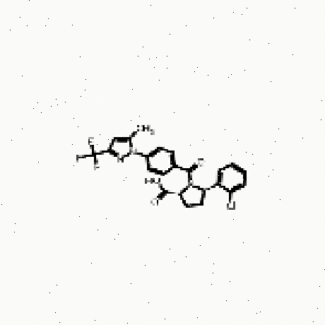 Cc1cc(C(F)(F)F)nn1-c1ccc(C(=O)N2[C@@H](c3ccccc3Cl)CC[C@H]2C(=O)O)cc1